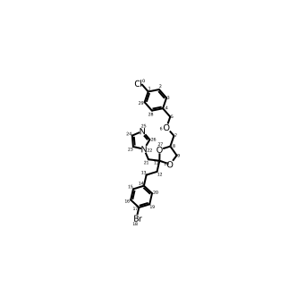 Clc1ccc(COCC2COC(CCc3ccc(Br)cc3)(Cn3ccnc3)O2)cc1